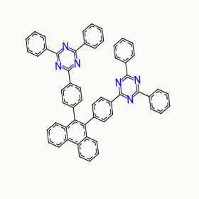 c1ccc(-c2nc(-c3ccccc3)nc(-c3ccc(-c4c(-c5ccc(-c6nc(-c7ccccc7)nc(-c7ccccc7)n6)cc5)c5ccccc5c5ccccc45)cc3)n2)cc1